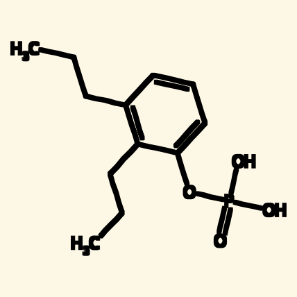 CCCc1cccc(OP(=O)(O)O)c1CCC